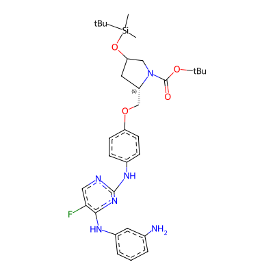 CC(C)(C)OC(=O)N1CC(O[Si](C)(C)C(C)(C)C)C[C@H]1COc1ccc(Nc2ncc(F)c(Nc3cccc(N)c3)n2)cc1